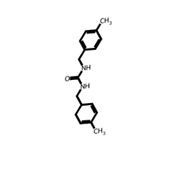 CC1=CCC(CNC(=O)NCc2ccc(C)cc2)C=C1